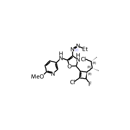 CC/N=N\C1=C(Nc2ccc(OC)nc2)OC(C2=C(Cl)C(F)[C@@H]2[C@@H](C)[C@@H](C)Cl)N1